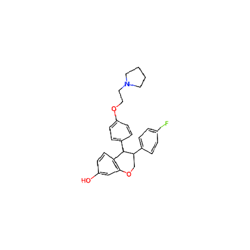 Oc1ccc2c(c1)OCC(c1ccc(F)cc1)C2c1ccc(OCCN2CCCC2)cc1